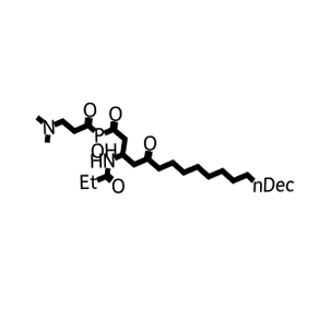 CCCCCCCCCCCCCCCCCCC(=O)CC(CC(=O)P(O)C(=O)CCN(C)C)NC(=O)CC